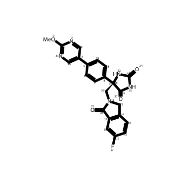 COc1ncc(-c2ccc([C@]3(CN4Cc5ccc(F)cc5C4=O)NC(=O)NC3=O)cc2)cn1